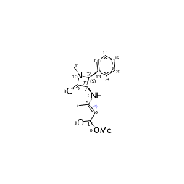 COC(=O)/C=C(\C)N[C@H]1C(=O)N(C)[C@H]1c1ccccc1